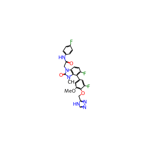 COc1cc(-c2c(F)ccc3c2n(C)c(=O)n3CC(=O)Nc2ccc(F)cc2)cc(F)c1OCc1nnc[nH]1